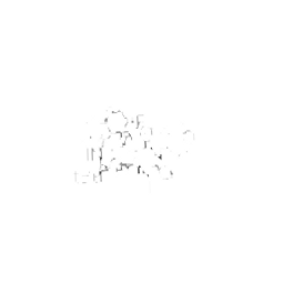 CC(C)(C)[S@+]([O-])N[C@@]1(CC(=O)[C@H]2C(=O)NC(=O)N(C3CCOCC3)C2=O)CCc2ccc(F)cc21